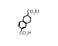 CCOC(=O)C1CCc2cc(C(=O)O)ccc2C1